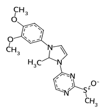 COc1ccc(N2C=CN(c3ccnc([S+](C)[O-])n3)C2C)cc1OC